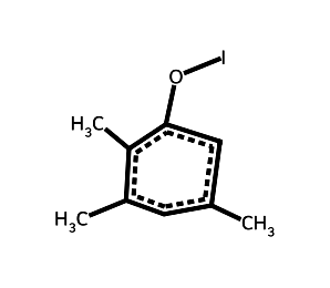 Cc1cc(C)c(C)c(OI)c1